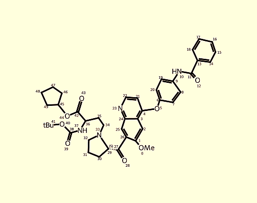 COc1cc2c(Oc3ccc(NC(=O)c4ccccc4)cc3)ccnc2cc1C(=O)[C@@H]1CCCN1CCC(NC(=O)OC(C)(C)C)C(=O)OC1CCCC1